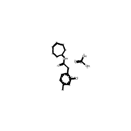 Cc1ccc(CC(=O)NC2CCCCCC2)c(Cl)c1.O=C(O)O